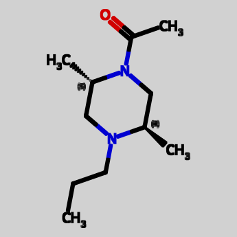 CCCN1C[C@H](C)N(C(C)=O)C[C@H]1C